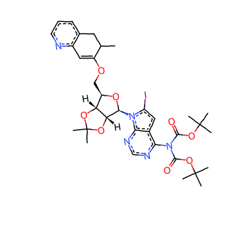 CC1Cc2cccnc2C=C1OC[C@H]1O[C@@H](n2c(I)cc3c(N(C(=O)OC(C)(C)C)C(=O)OC(C)(C)C)ncnc32)[C@@H]2OC(C)(C)O[C@@H]21